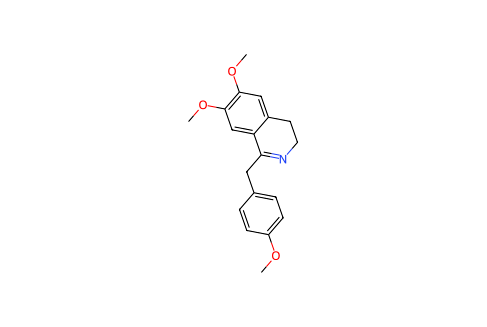 COc1ccc(CC2=NCCc3cc(OC)c(OC)cc32)cc1